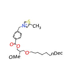 CCCCCCCCCCCCCCCCOCC(COC(=O)c1ccc(C[n+]2csc(C)c2)cc1)OC